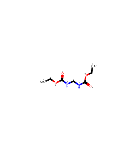 CC(=O)OCOC(=O)NCNC(=O)OCOC(C)=O